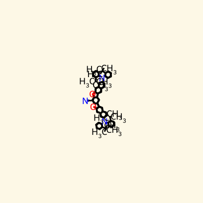 CC(C)(C)c1ccccc1N(c1ccc2cc3c(cc2c1)oc1c(C#N)c2oc4cc5cc(N(c6ccccc6C(C)(C)C)c6ccccc6C(C)(C)C)ccc5cc4c2cc13)c1ccccc1C(C)(C)C